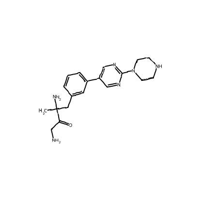 CC(N)(Cc1cccc(-c2cnc(N3CCNCC3)nc2)c1)C(=O)CN